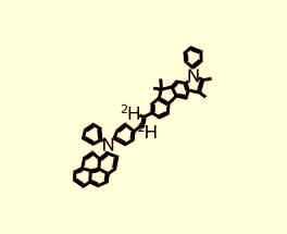 [2H]/C(=C(/[2H])c1ccc2c(c1)C(C)(C)c1cc3c(cc1-2)c(C)c(C)n3-c1ccccc1)c1ccc(N(c2ccccc2)c2ccc3ccc4cccc5ccc2c3c45)cc1